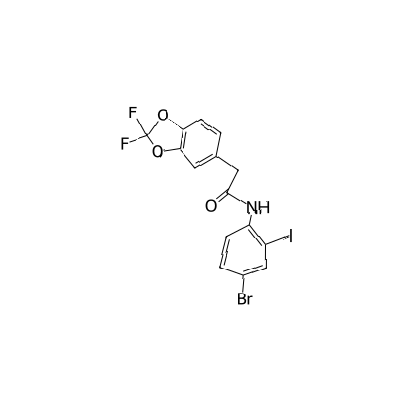 O=C(Cc1ccc2c(c1)OC(F)(F)O2)Nc1ccc(Br)cc1I